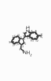 NCC1CC(c2c[nH]c3cc(F)ccc23)c2ccccc21